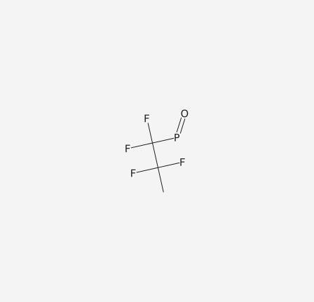 CC(F)(F)C(F)(F)P=O